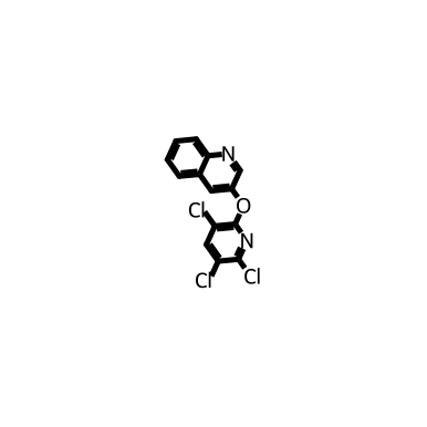 Clc1cc(Cl)c(Oc2cnc3ccccc3c2)nc1Cl